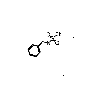 CCS(=O)(=O)[N]Cc1ccccc1